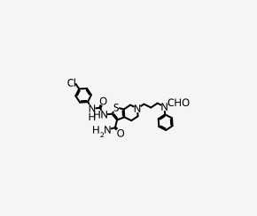 NC(=O)c1c(NC(=O)Nc2ccc(Cl)cc2)sc2c1CCN(CCCN(C=O)c1ccccc1)C2